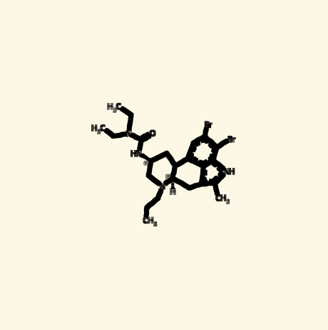 CCCN1C[C@@H](NC(=O)N(CC)CC)CC2c3cc(Br)c(Br)c4[nH]c(C)c(c34)C[C@H]21